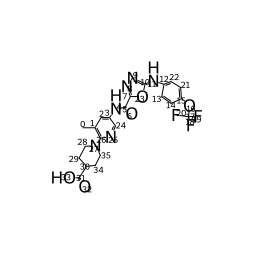 Cc1cc(NC(=O)c2nnc(Nc3ccc(OC(F)(F)F)cc3)o2)cnc1N1CCC(C(=O)O)CC1